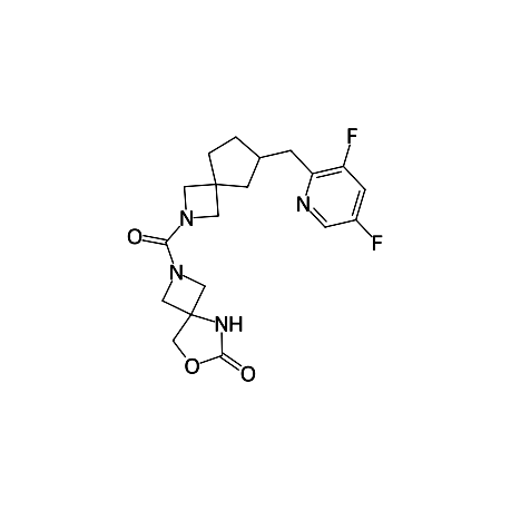 O=C1NC2(CO1)CN(C(=O)N1CC3(CCC(Cc4ncc(F)cc4F)C3)C1)C2